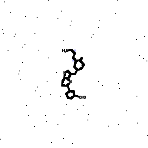 C=c1ccc(Cc2cnc3ccc(-c4cccc(C=O)c4)nn23)c/c1=C/C=C\N